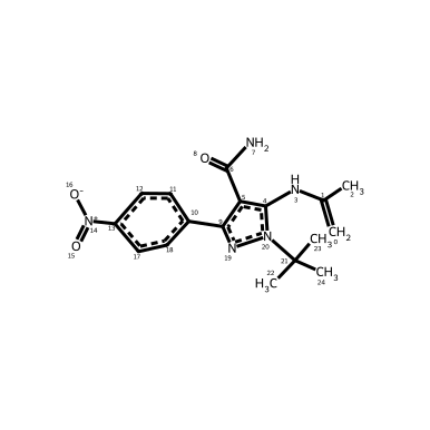 C=C(C)Nc1c(C(N)=O)c(-c2ccc([N+](=O)[O-])cc2)nn1C(C)(C)C